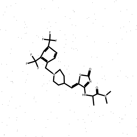 CC(NC1=NC(=O)S/C1=C\C1CCN(Cc2ccc(C(F)(F)F)cc2C(F)(F)F)CC1)C(=O)N(C)C